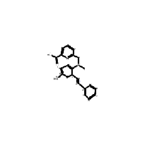 CN(Cc1cccc(C(=O)O)n1)C1=CC=C(O)CC1/C=C/c1ccccc1